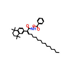 CCCCCCCCCCCCCC=C(C(=O)NOC(=O)c1ccccc1)c1ccc2c(c1)C(C)(C)CCC2(C)C